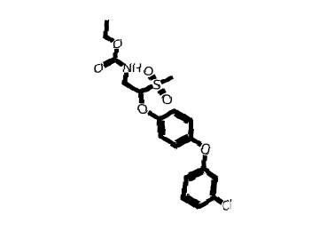 CCOC(=O)NCC(Oc1ccc(Oc2cccc(Cl)c2)cc1)S(C)(=O)=O